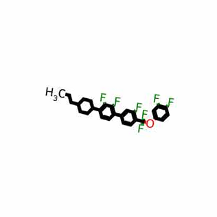 CCCC1CCC(c2ccc(-c3ccc(C(F)(F)Oc4ccc(F)c(F)c4)c(F)c3)c(F)c2F)CC1